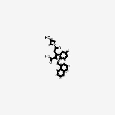 O=C(O)c1c(CC(=O)N2CC(O)C2)c2cc(F)ccc2n1Cc1cccc2ccccc12